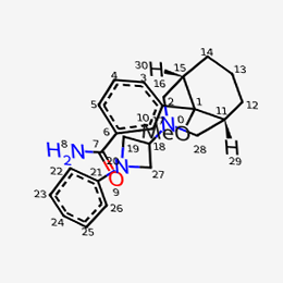 COC1(c2cccc(C(N)=O)c2)[C@@H]2CCC[C@H]1CN(C1CN(c3ccccc3)C1)C2